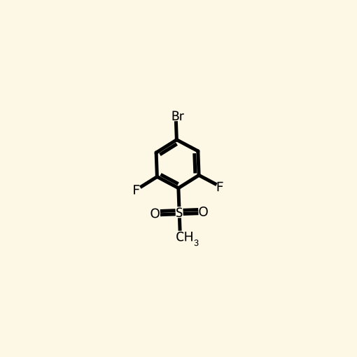 CS(=O)(=O)c1c(F)cc(Br)cc1F